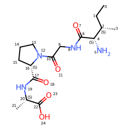 CC[C@H](C)[C@H](N)C(=O)NCC(=O)N1CCC[C@H]1C(=O)N[C@@H](C)C(=O)O